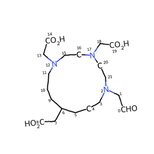 O=CCN1CCCC(CC(=O)O)CCCN(CC(=O)O)CCN(CC(=O)O)CC1